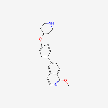 COc1nccc2cc(-c3ccc(OC4CCNCC4)cc3)ccc12